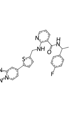 CC(NC(=O)c1cccnc1NCc1ccc(-c2ccn3ncnc3c2)s1)c1ccc(F)cc1